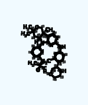 Cc1cc(Nc2ncc3c(n2)N(c2cccc(N=S(C)(C)=O)n2)[C@H]2CC(C)(C)OC[C@@]32C)ccc1[C@@H]1COCCN1